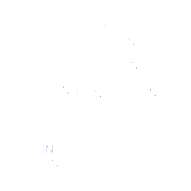 C[S+]([O-])CC(C)(C)NC(=O)c1c(NC(=O)c2cc(C(F)(F)F)nn2-c2ncccc2Cl)c(Cl)cc2cn[nH]c12